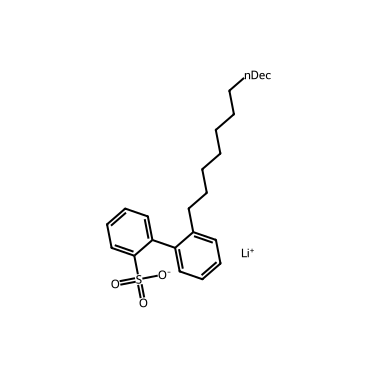 CCCCCCCCCCCCCCCCCc1ccccc1-c1ccccc1S(=O)(=O)[O-].[Li+]